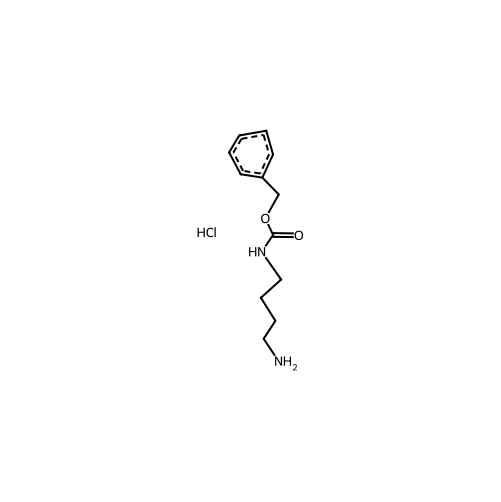 Cl.NCCCCNC(=O)OCc1ccccc1